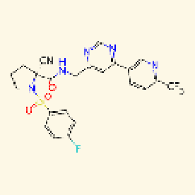 N#C[C@@]1(C(=O)NCc2cc(-c3ccc(C(F)(F)F)nc3)ncn2)CCCN1S(=O)(=O)c1ccc(F)cc1